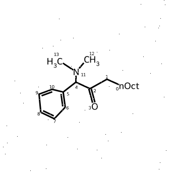 CCCCCCCCCC(=O)C(c1ccccc1)N(C)C